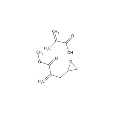 C=C(C)C(=O)O.C=C(CC1CO1)C(=O)OC